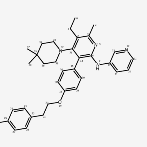 CCc1c(C)nc(Nc2cccnc2)c(-c2ccc(OCCc3ccc(F)cc3)cc2)c1N1CCC(C)(C)CC1